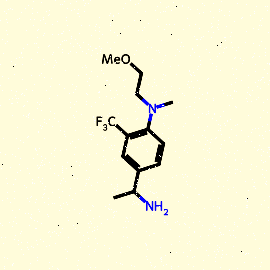 COCCN(C)c1ccc(C(C)N)cc1C(F)(F)F